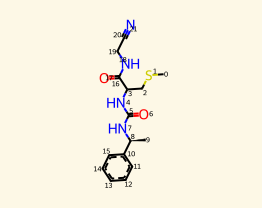 CSCC(NC(=O)N[C@@H](C)c1ccccc1)C(=O)NCC#N